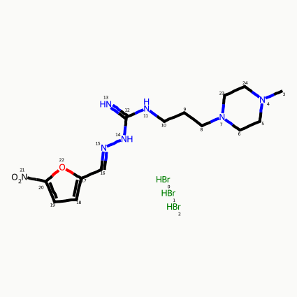 Br.Br.Br.CN1CCN(CCCNC(=N)NN=Cc2ccc([N+](=O)[O-])o2)CC1